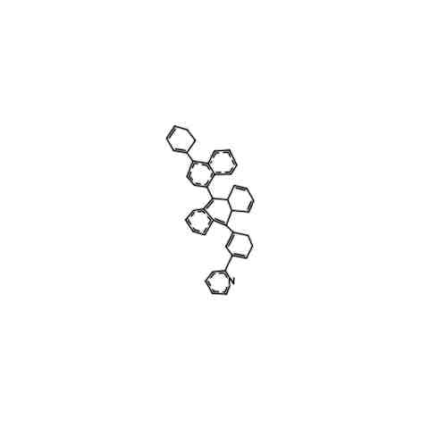 C1=CCCC(c2ccc(C3=c4ccccc4=C(C4=CC(c5ccccn5)=CCC4)C4C=CC=CC34)c3ccccc23)=C1